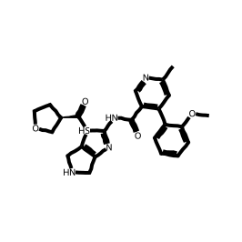 COc1ccccc1-c1cc(C)ncc1C(=O)NC1=NC2=C(CNC2)[SH]1C(=O)[C@@H]1CCOC1